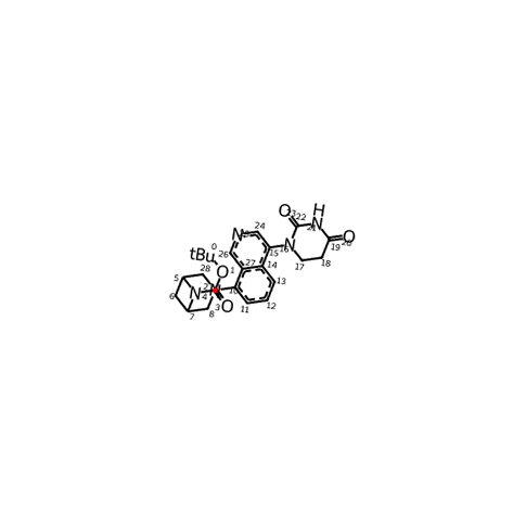 CC(C)(C)OC(=O)N1C2CC1CN(c1cccc3c(N4CCC(=O)NC4=O)cncc13)C2